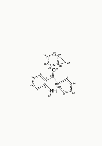 CNc1ccccc1C(=O)c1ccccc1.c1ccc2c(c1)C2